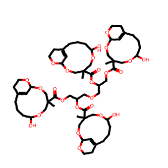 CC1(C(=O)OCC(COCC(COC(=O)C2(C)COC(O)CCCC3=CC(OCC3)OC2)OC(=O)C2(C)COC(O)CCCC3=CC(OCC3)OC2)OC(=O)C2(C)COC(O)CCCC3=CC(OCC3)OC2)COC(O)CCCC2=CC(OCC2)OC1